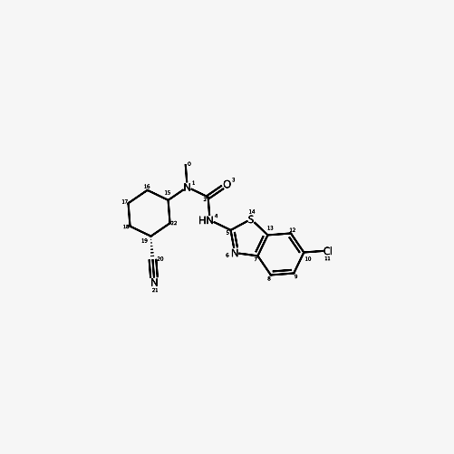 CN(C(=O)Nc1nc2ccc(Cl)cc2s1)C1CCC[C@@H](C#N)C1